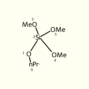 CC[CH]O[Si](OC)(OC)OC